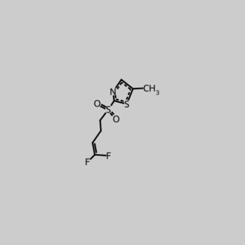 Cc1cnc(S(=O)(=O)CCC=C(F)F)s1